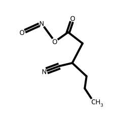 CCCC(C#N)CC(=O)ON=O